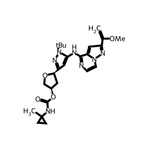 C=C(OC)c1cc2c(Nc3cc([C@H]4C[C@@H](OC(=O)NC5(C)CC5)CO4)nn3C(C)(C)C)nccn2n1